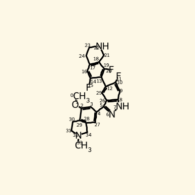 COc1cc(-c2n[nH]c3cc(F)c(-c4c(F)cc5c(c4F)CNCC5)cc23)cc2c1CCN(C)C2